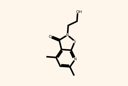 Cc1cc(C)c2c(=O)n(CCO)sc2n1